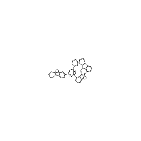 c1ccc(-c2cc(-c3ccc4c(c3)oc3ccccc34)nc(-c3cccc4oc5c6cccc7c6c(cc5c34)-c3ccccc3-7)n2)cc1